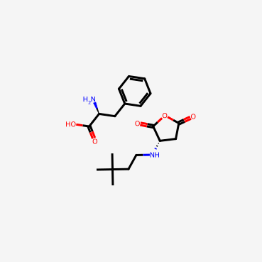 CC(C)(C)CCN[C@H]1CC(=O)OC1=O.N[C@@H](Cc1ccccc1)C(=O)O